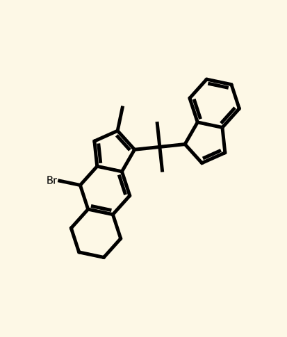 CC1=C(C(C)(C)C2C=Cc3ccccc32)C2=CC3=C(CCCC3)C(Br)C2=C1